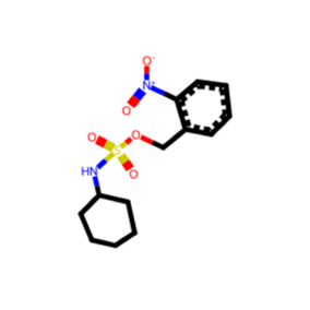 O=[N+]([O-])c1ccccc1COS(=O)(=O)NC1CCCCC1